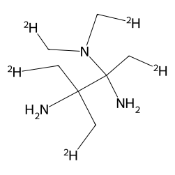 [2H]CN(C[2H])C(N)(C[2H])C(N)(C[2H])C[2H]